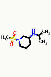 CC(C)NC1CCCN(S(C)(=O)=O)C1